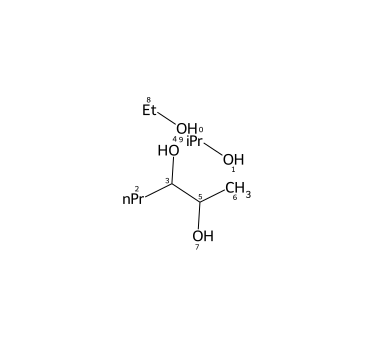 CC(C)O.CCCC(O)C(C)O.CCO